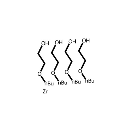 CCCCOCCO.CCCCOCCO.CCCCOCCO.CCCCOCCO.[Zr]